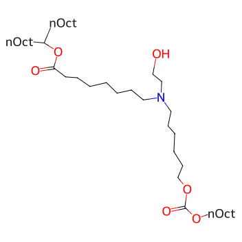 CCCCCCCCOC(=O)OCCCCCCN(CCO)CCCCCCCC(=O)OC(CCCCCCCC)CCCCCCCC